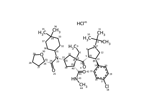 CC[N+]1(C(=O)[C@@H]2CN(C(C)(C)C)C[C@H]2c2ccc(Cl)cc2)C[C@@H](N(C(=O)[C@@H]2CCCO2)C2CCC(C)(C)CC2)C[C@H]1C(=O)NC.Cl